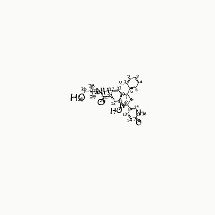 Cc1ccccc1C(CC(=NO)c1ccc(=O)n(C)c1)c1ccc(C(=O)NC(C)(C)CO)cc1